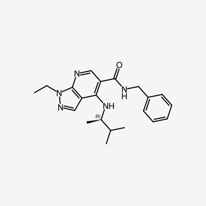 CCn1ncc2c(N[C@H](C)C(C)C)c(C(=O)NCc3ccccc3)cnc21